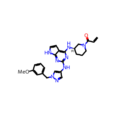 C=CC(=O)N1CCC[C@@H](Nc2nc(Nc3cnn(Cc4cccc(OC)c4)c3)nc3[nH]ccc23)C1